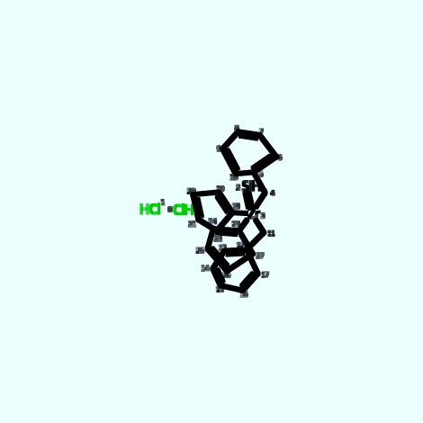 Cl.Cl.[SiH2]=[Zr]([CH2]c1ccccc1)([CH2]c1ccccc1)([C]1=CC=CC1)[C]1=CC=CC1